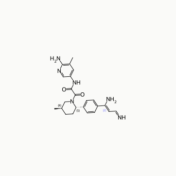 Cc1cc(NC(=O)C(=O)N2C[C@H](C)CC[C@H]2c2ccc(/C(N)=C/C=N)cc2)cnc1N